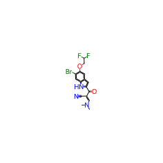 CN(C)/C=C(\C#N)C(=O)c1cc2cc(OCC(F)F)c(Br)cc2[nH]1